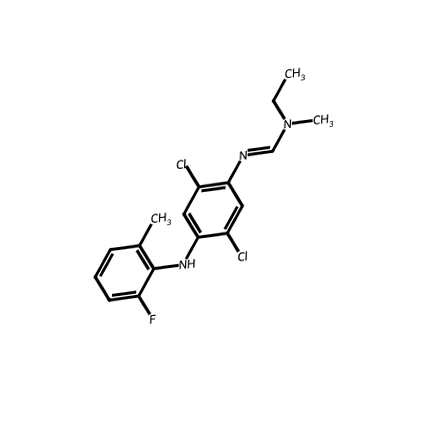 CCN(C)C=Nc1cc(Cl)c(Nc2c(C)cccc2F)cc1Cl